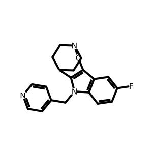 Fc1ccc2c(c1)c1c(n2Cc2ccncc2)C2CCN(CC2)C1